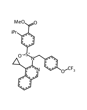 COC(=O)c1ccc([S+]([O-])N(Cc2ccc(OC(F)(F)F)cc2)c2ncc3ccccc3c2C2CC2)cc1C(C)C